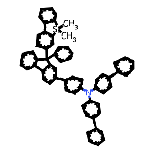 C[Si]1(C)c2ccccc2-c2ccc(C3(c4ccccc4)c4ccccc4-c4ccc(-c5ccc(N(c6ccc(-c7ccccc7)cc6)c6ccc(-c7ccccc7)cc6)cc5)cc43)cc21